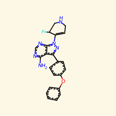 Nc1ncnc2c1c(-c1ccc(Oc3ccccc3)cc1)nn2C1=CCNCC1F